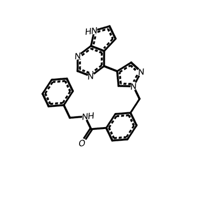 O=C(NCc1ccccc1)c1cccc(Cn2cc(-c3ncnc4[nH]ccc34)cn2)c1